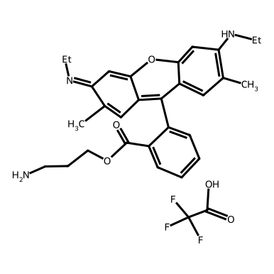 CCN=c1cc2oc3cc(NCC)c(C)cc3c(-c3ccccc3C(=O)OCCCN)c-2cc1C.O=C(O)C(F)(F)F